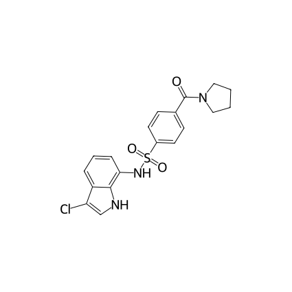 O=C(c1ccc(S(=O)(=O)Nc2cccc3c(Cl)c[nH]c23)cc1)N1CCCC1